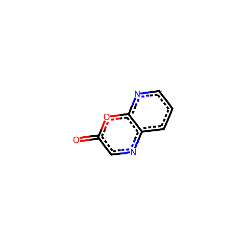 O=c1cnc2cc[c]nc2o1